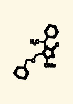 COc1oc(=O)n(C(C)c2ccccc2)c1COCc1ccccc1